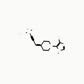 Cn1cnc([N+](=O)[O-])c1N1CCC(=CC#C[Si](C)(C)C)CC1